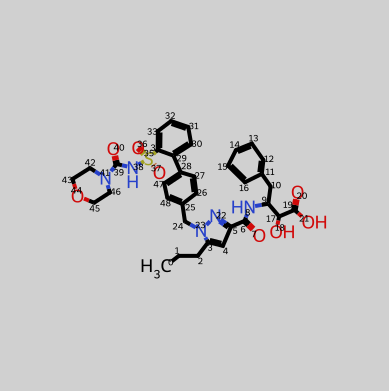 CCCc1cc(C(=O)NC(Cc2ccccc2)C(O)C(=O)O)nn1Cc1ccc(-c2ccccc2S(=O)(=O)NC(=O)N2CCOCC2)cc1